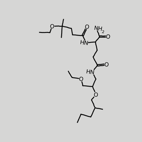 CCCC(C)COC(CNC(=O)CCC(NC(=O)CCC(C)(C)OCC)C(N)=O)COCC